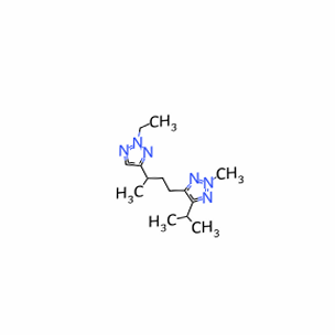 CCn1ncc(C(C)CCc2nn(C)nc2C(C)C)n1